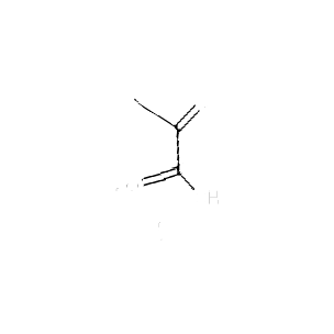 CC(=O)C(=O)O.[C]